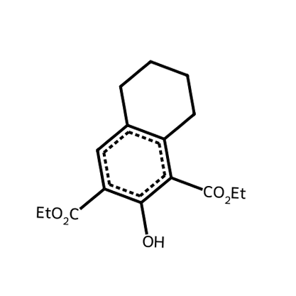 CCOC(=O)c1cc2c(c(C(=O)OCC)c1O)CCCC2